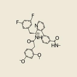 CNC(=O)c1cccc(-c2cccnc2[C@H](Cc2cc(F)cc(F)c2)NC(=O)Cc2ccc(OC)cc2OC)c1